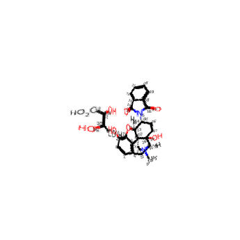 CCCN1CC[C@]23c4c5ccc(O)c4O[C@H]2[C@H](N2C(=O)c4ccccc4C2=O)CCC3(O)[C@H]1C5.O=C(O)C(O)C(O)C(=O)O